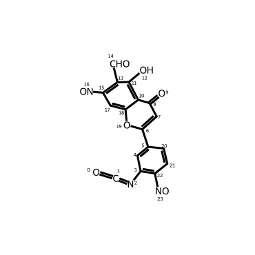 O=C=Nc1cc(-c2cc(=O)c3c(O)c(C=O)c(N=O)cc3o2)ccc1N=O